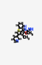 CCC(=O)C(NC(C)=N)(c1ccccc1)c1cc(-c2cccnc2)cs1